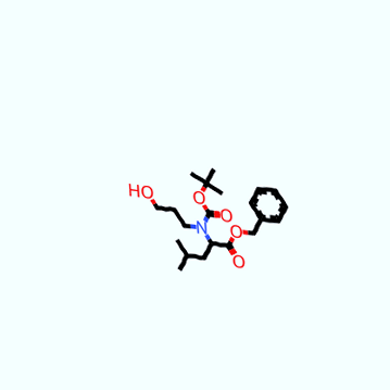 CC(C)CC(C(=O)OCc1ccccc1)N(CCCO)C(=O)OC(C)(C)C